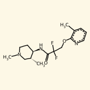 Cc1cccnc1OCC(F)(F)C(=O)N[C@@H]1CCN(C)C[C@H]1C